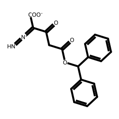 N=[N+]=C(C(=O)[O-])C(=O)CC(=O)OC(c1ccccc1)c1ccccc1